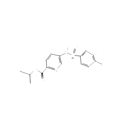 CC(C)OC(=O)c1ccc(NS(=O)(=O)c2ccc(F)cc2)cn1